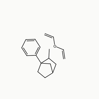 C=COC=C.CC1CC2CCC1(c1ccccc1)C2